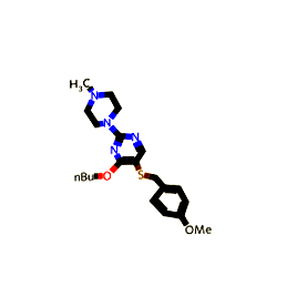 CCCCOc1nc(N2CCN(C)CC2)ncc1SCc1ccc(OC)cc1